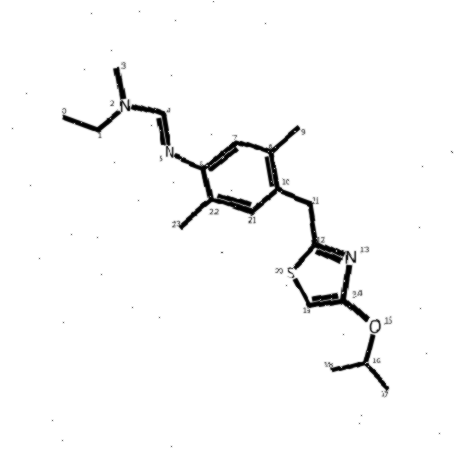 CCN(C)/C=N/c1cc(C)c(Cc2nc(OC(C)C)cs2)cc1C